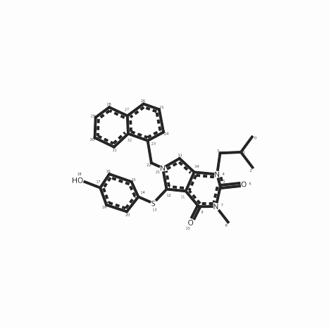 CC(C)Cn1c(=O)n(C)c(=O)c2c(Sc3ccc(O)cc3)n(Cc3cccc4ccccc34)cc21